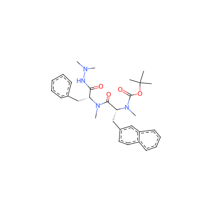 CN(C)NC(=O)[C@@H](Cc1ccccc1)N(C)C(=O)[C@@H](Cc1ccc2ccccc2c1)N(C)C(=O)OC(C)(C)C